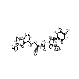 COc1cnc2cccc(CCC(=O)N(C)C[C@@H]3CN(c4ccc(C)c(F)c4)C(=O)O3)c2c1